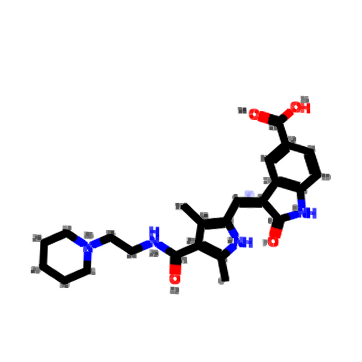 Cc1[nH]c(/C=C2\C(=O)Nc3ccc(C(=O)O)cc32)c(C)c1C(=O)NCCN1CCCCC1